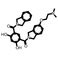 CN(C)CCOc1ccc2c(c1)CN(C(=O)c1cc(C(=O)N3Cc4ccccc4C3)c(O)cc1O)C2